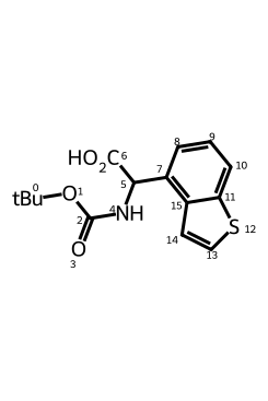 CC(C)(C)OC(=O)NC(C(=O)O)c1cccc2sccc12